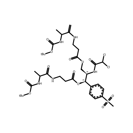 C=C(NCCC(=O)OC[C@@H](NC(=O)C(Cl)Cl)[C@H](OC(=O)CCNC(=O)C(C)NC(=O)OC(C)(C)C)c1ccc(S(C)(=O)=O)cc1)C(C)NC(=O)OC(C)(C)C